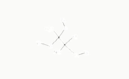 CCOC(C#N)(CC)C(C)(OCC)OCC